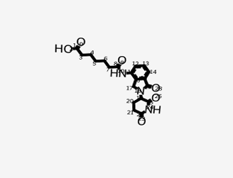 O=C(O)CCCCCC(=O)Nc1cccc2c1CN(C1CCC(=O)NC1=O)C2=O